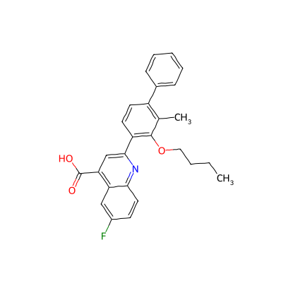 CCCCOc1c(-c2cc(C(=O)O)c3cc(F)ccc3n2)ccc(-c2ccccc2)c1C